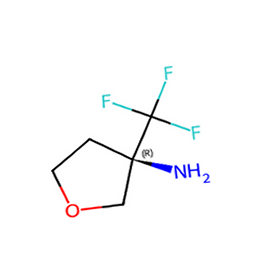 N[C@]1(C(F)(F)F)CCOC1